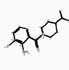 CC(C)C1CCN(C(=O)c2cccc(F)c2N)CC1